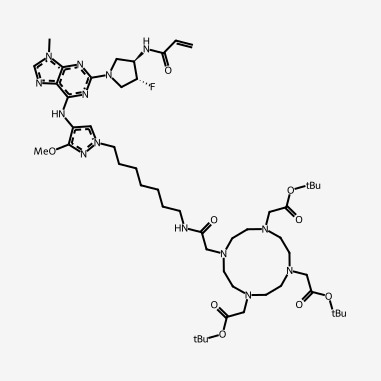 C=CC(=O)N[C@@H]1CN(c2nc(Nc3cn(CCCCCCCNC(=O)CN4CCN(CC(=O)OC(C)(C)C)CCN(CC(=O)OC(C)(C)C)CCN(CC(=O)OC(C)(C)C)CC4)nc3OC)c3ncn(C)c3n2)C[C@H]1F